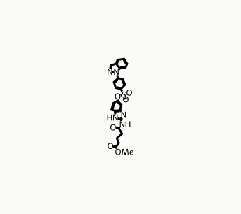 COC(=O)CCCC(=O)Nc1nc2cc(OS(=O)(=O)c3ccc(-n4ncc5ccccc54)cc3)ccc2[nH]1